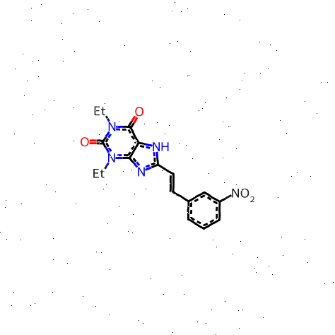 CCn1c(=O)c2[nH]c(/C=C/c3cccc([N+](=O)[O-])c3)nc2n(CC)c1=O